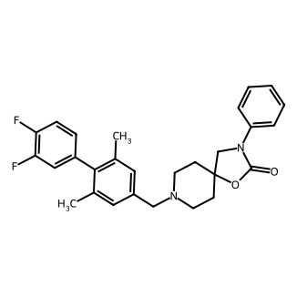 Cc1cc(CN2CCC3(CC2)CN(c2ccccc2)C(=O)O3)cc(C)c1-c1ccc(F)c(F)c1